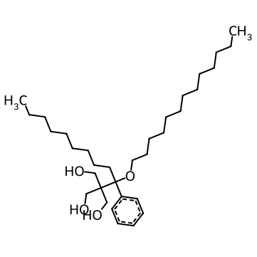 CCCCCCCCCCCCCOC(CCCCCCCCC)(c1ccccc1)C(CO)(CO)CO